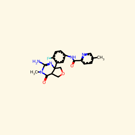 Cc1ccc(C(=O)Nc2ccc(F)c(C34COCC3C(=O)N(C)C(N)=N4)c2)nc1